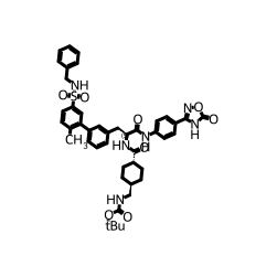 Cc1ccc(S(=O)(=O)NCc2ccccc2)cc1-c1cccc(C[C@H](NC(=O)[C@H]2CC[C@H](CNC(=O)OC(C)(C)C)CC2)C(=O)Nc2ccc(-c3noc(=O)[nH]3)cc2)c1